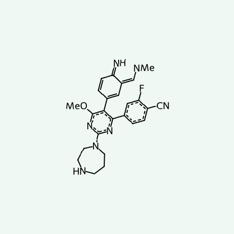 CN/C=C1/C=C(c2c(OC)nc(N3CCCNCC3)nc2-c2ccc(C#N)c(F)c2)C=CC1=N